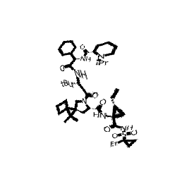 C=C[C@@H]1C[C@]1(NC(=O)[C@@H]1C[C@@]2(CN1C(=O)[C@@H](NC(=O)[C@@H](NC(=O)[C@@H]1CCCCN1C(C)C)C1CCCCC1)C(C)(C)C)C(C)(C)C21CCC1)C(=O)NS(=O)(=O)C1(CC)CC1